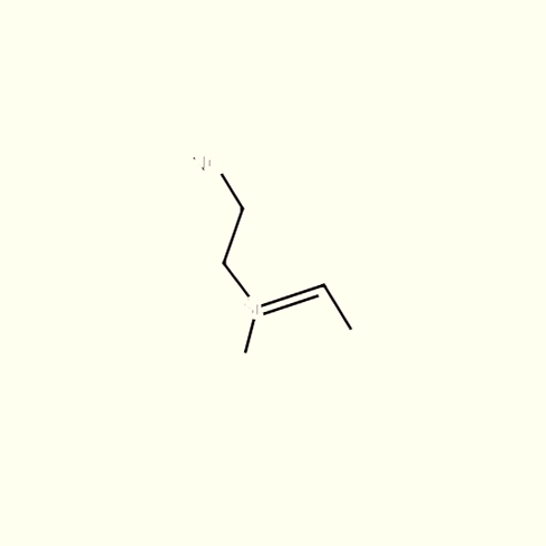 CC=[Si](C)CCC#N